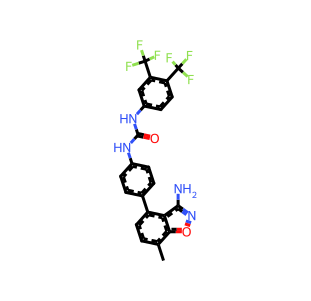 Cc1ccc(-c2ccc(NC(=O)Nc3ccc(C(F)(F)F)c(C(F)(F)F)c3)cc2)c2c(N)noc12